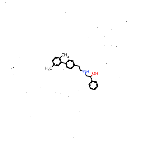 Cc1ccc(C)c(-c2ccc(CCNCC(O)c3ccccc3)cc2)c1